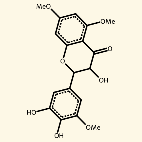 COc1cc(OC)c2c(c1)OC(c1cc(O)c(O)c(OC)c1)C(O)C2=O